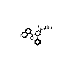 CC(C)(C)OC(=O)N1C[C@@H](C(=O)c2cccc3cnccc23)[C@H](c2ccccc2)C1